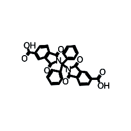 O=C(O)c1ccc2c(c1)C(=O)N(C(c1ccccc1)(c1ccccc1)N1C(=O)c3ccc(C(=O)O)cc3C1=O)C2=O